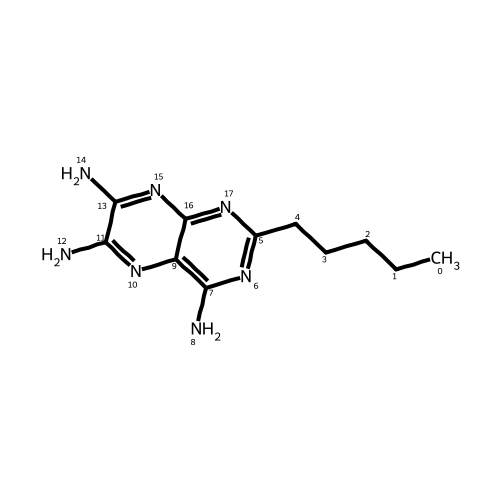 CCCCCc1nc(N)c2nc(N)c(N)nc2n1